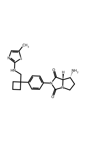 Cc1cnc(NCC2(c3ccc(N4C(=O)[C@@H]5[C@H](N)CCN5C4=O)cc3)CCC2)s1